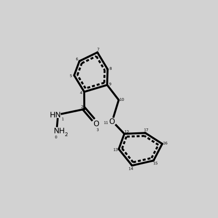 NNC(=O)c1ccccc1COc1ccccc1